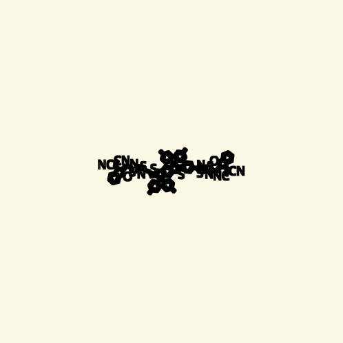 Cc1ccc(C2(c3ccc(C)cc3)c3cc4c(cc3-c3sc(-c5nc6sc(/C=C7\C(=O)c8ccccc8C7=C(C#N)C#N)nc6s5)cc32)C(c2ccc(C)cc2)(c2ccc(C)cc2)c2c-4sc3cc(-c4nc5sc(/C=C6\C(=O)c7ccccc7C6=C(C#N)C#N)nc5s4)ccc23)cc1